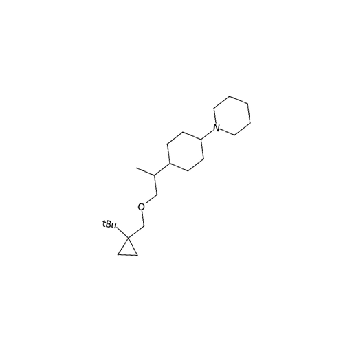 CC(COCC1(C(C)(C)C)CC1)C1CCC(N2CCCCC2)CC1